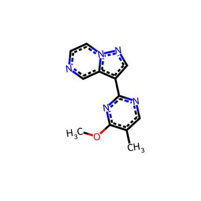 COc1nc(-c2cnn3ccncc23)ncc1C